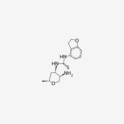 C[C@H]1C[C@@H](NC(=S)Nc2cccc3c2CCO3)[C@@H](N)CO1